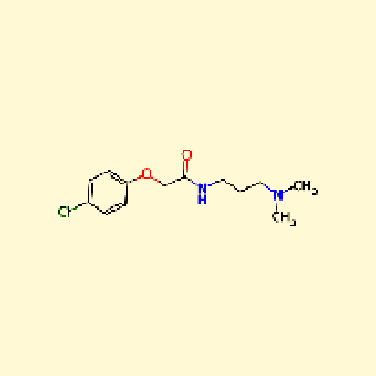 CN(C)CCCNC(=O)COc1ccc(Cl)cc1